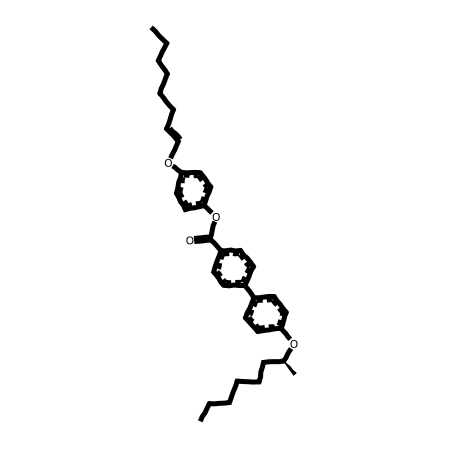 CCCCCC/C=C/Oc1ccc(OC(=O)c2ccc(-c3ccc(O[C@@H](C)CCCCCC)cc3)cc2)cc1